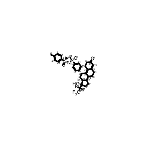 Cc1ccc(S(=O)(=O)N=S(C)(=O)c2ccc([C@H]3C[C@@]4(C)C(CC[C@@]4(O)C(F)(F)C(F)(F)F)C4CCC5=CC(=O)CCC5=C43)cc2)cc1